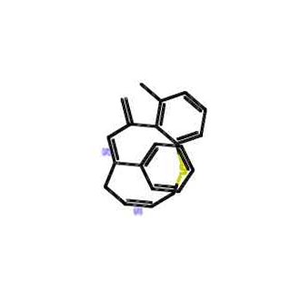 C=C1/C=C(\c2ccccc2)C/C=C\CSc2cccc(C)c21